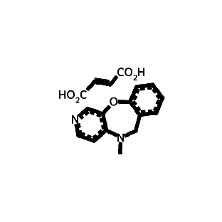 CN1Cc2ccccc2Oc2cnccc21.O=C(O)C=CC(=O)O